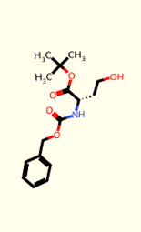 CC(C)(C)OC(=O)[C@H](CCO)NC(=O)OCc1ccccc1